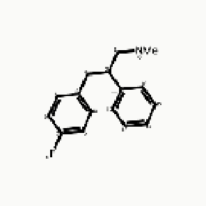 CNCC(Cc1ccc(F)cc1)c1ccccc1